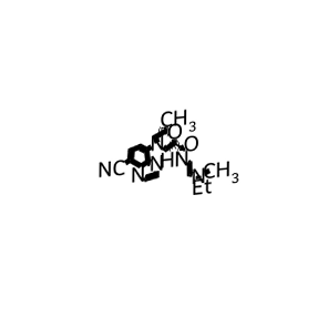 CCN(C)CCNC(=O)[C@H]1CN(c2ccc(C#N)c3nccnc23)C[C@@H](C)O1